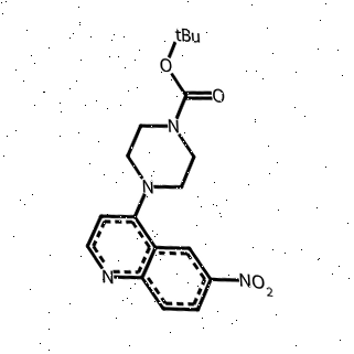 CC(C)(C)OC(=O)N1CCN(c2ccnc3ccc([N+](=O)[O-])cc23)CC1